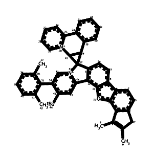 CC1=C(C)c2c(ccc3c2oc2c4c(ccc23)C2(C3c5ccccc5-c5cccc[n+]5C32)[n+]2cc(-c3c(C)cccc3C)c(C(C)(C)C)cc2-4)C1